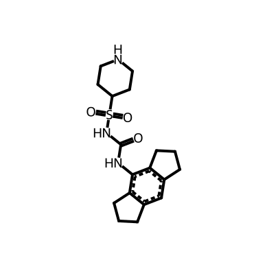 O=C(Nc1c2c(cc3c1CCC3)CCC2)NS(=O)(=O)C1CCNCC1